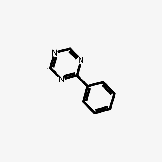 [c]1ncnc(-c2ccccc2)n1